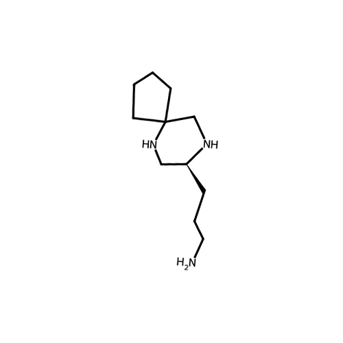 NCCC[C@H]1CNC2(CCCC2)CN1